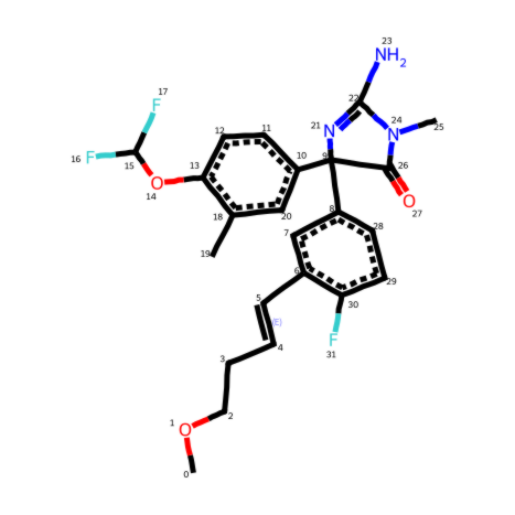 COCC/C=C/c1cc(C2(c3ccc(OC(F)F)c(C)c3)N=C(N)N(C)C2=O)ccc1F